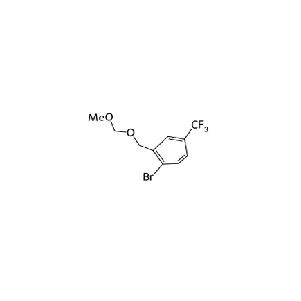 COCOCc1cc(C(F)(F)F)ccc1Br